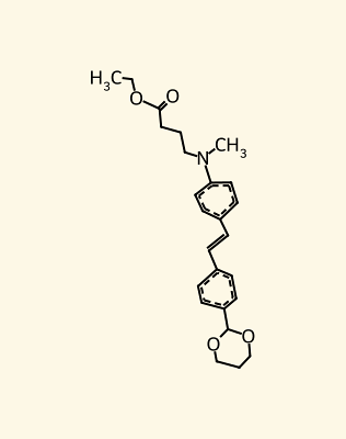 CCOC(=O)CCCN(C)c1ccc(/C=C/c2ccc(C3OCCCO3)cc2)cc1